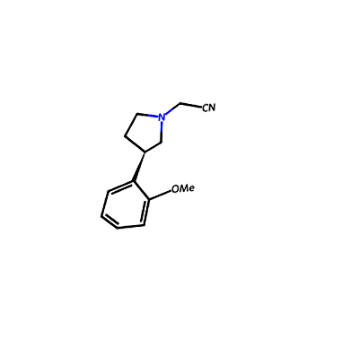 COc1ccccc1[C@H]1CCN(CC#N)C1